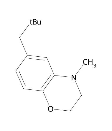 CN1CCOc2ccc(CC(C)(C)C)cc21